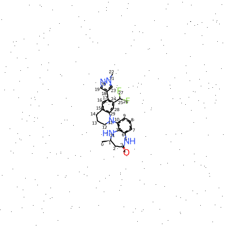 C[C@@H]1CC(=O)Nc2cccc(N3CCCc4cc(-c5cnn(C)c5)c(C(F)F)cc43)c2N1